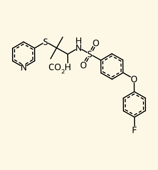 CC(C)(Sc1cccnc1)C(NS(=O)(=O)c1ccc(Oc2ccc(F)cc2)cc1)C(=O)O